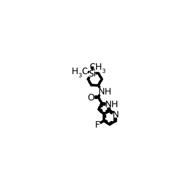 C[Si]1(C)CCC(NC(=O)c2cc3c(F)ccnc3[nH]2)CC1